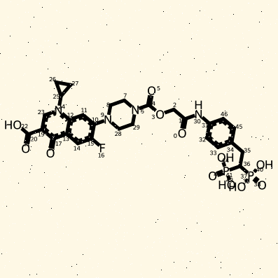 O=C(COC(=O)N1CCN(c2cc3c(cc2F)c(=O)c(C(=O)O)cn3C2CC2)CC1)Nc1ccc(CC(P(=O)(O)O)P(=O)(O)O)cc1